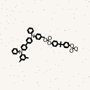 COC(=O)Oc1ccc(C(C)(C)c2ccc(OC(=O)OCc3ccc(N(c4ccccc4)c4ccc(-c5ccc(N(c6ccccc6)c6cc(C)cc(C)c6)cc5)cc4)cc3)cc2)cc1